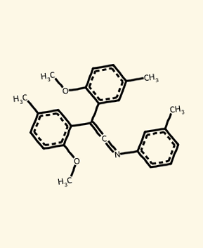 COc1ccc(C)cc1C(=C=Nc1cccc(C)c1)c1cc(C)ccc1OC